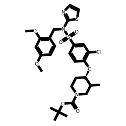 COc1ccc(CN(c2nccs2)S(=O)(=O)c2ccc(O[C@@H]3CCN(C(=O)OC(C)(C)C)CC3C)c(Cl)c2)c(OC)c1